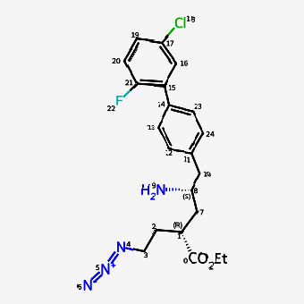 CCOC(=O)[C@H](CCN=[N+]=[N-])C[C@H](N)Cc1ccc(-c2cc(Cl)ccc2F)cc1